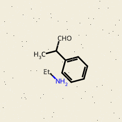 CC(C=O)c1ccccc1.CCN